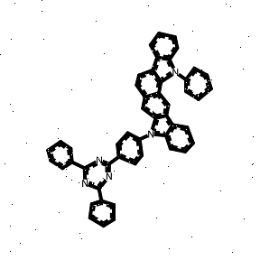 c1ccc(-c2nc(-c3ccccc3)nc(-c3ccc(-n4c5ccccc5c5cc6c(ccc7c8ccccc8n(-c8ccccc8)c67)cc54)cc3)n2)cc1